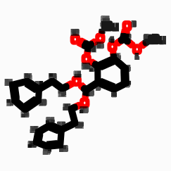 CC(C)(C)OC(=O)Oc1cccc(C(OCCc2ccccc2)OCCc2ccccc2)c1OC(=O)OC(C)(C)C